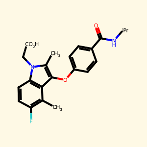 Cc1c(F)ccc2c1c(Oc1ccc(C(=O)NC(C)C)cc1)c(C)n2CC(=O)O